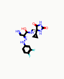 N=C/C(=N\Nc1ccc(F)c(F)c1)C(O)NC[C@@]1(C2CC2)NC(=O)NC1=O